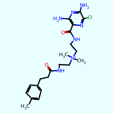 Cc1ccc(CCC(=O)NCC[N+](C)(C)CCNC(=O)c2nc(Cl)c(N)nc2N)cc1